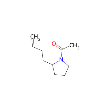 C=CCCC1CCCN1C(C)=O